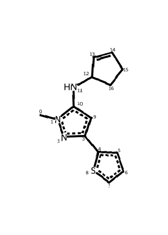 Cn1nc(-c2cccs2)cc1NC1C=CCC1